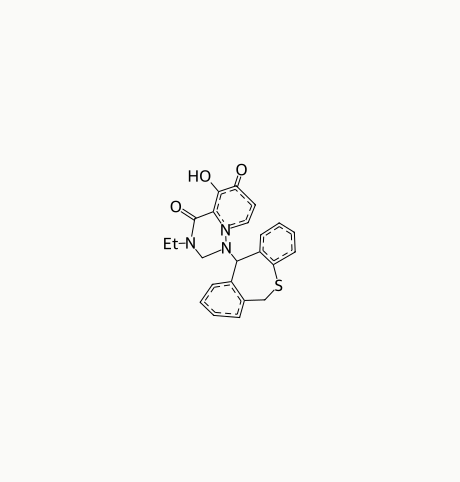 CCN1CN(C2c3ccccc3CSc3ccccc32)n2ccc(=O)c(O)c2C1=O